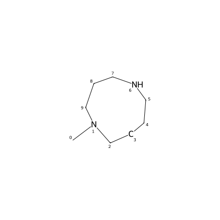 CN1CCCCNCCC1